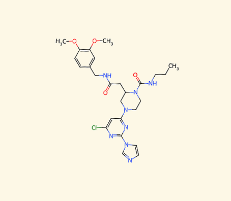 CCCNC(=O)N1CCN(c2cc(Cl)nc(-n3ccnc3)n2)CC1CC(=O)NCc1ccc(OC)c(OC)c1